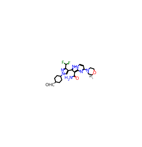 C[C@@H]1CN(c2ccn3nc(-c4cn(C5CCC(C=O)CC5)nc4C(F)F)c(C(N)=O)c3n2)CCO1